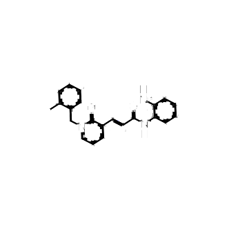 Cc1ccccc1Cn1cccc(/C=C/C(=O)Nc2ccccc2N)c1=O